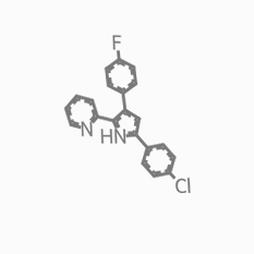 Fc1ccc(-c2cc(-c3ccc(Cl)cc3)[nH]c2-c2ccccn2)cc1